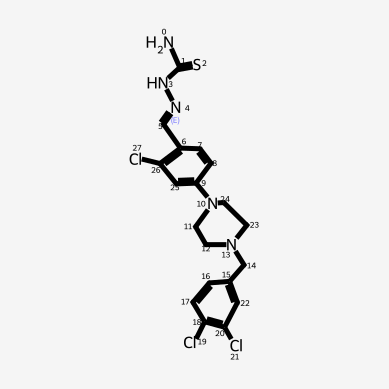 NC(=S)N/N=C/c1ccc(N2CCN(Cc3ccc(Cl)c(Cl)c3)CC2)cc1Cl